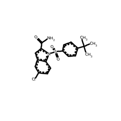 CC(C)(C)c1ccc(S(=O)(=O)n2c(C(N)=O)cc3cc(Cl)ccc32)cc1